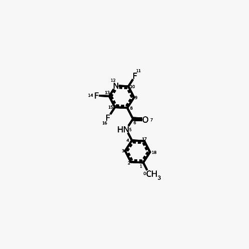 Cc1ccc(NC(=O)c2cc(F)nc(F)c2F)cc1